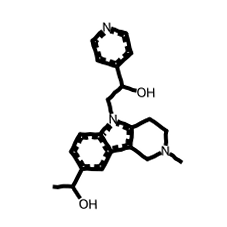 CC(O)c1ccc2c(c1)c1c(n2CC(O)c2ccncc2)CCN(C)C1